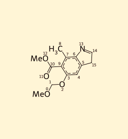 COCOc1cc2c(c(C)c1C(=O)OC)N=CC2